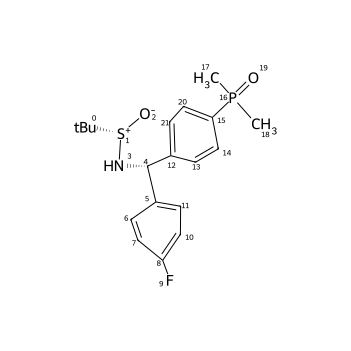 CC(C)(C)[S@+]([O-])N[C@@H](c1ccc(F)cc1)c1ccc(P(C)(C)=O)cc1